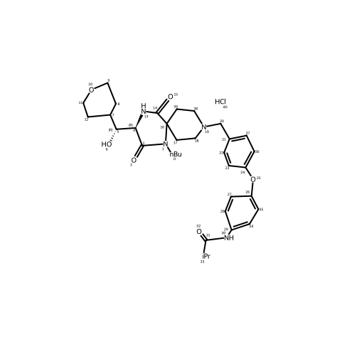 CCCCN1C(=O)[C@@H]([C@H](O)C2CCOCC2)NC(=O)C12CCN(Cc1ccc(Oc3ccc(NC(=O)C(C)C)cc3)cc1)CC2.Cl